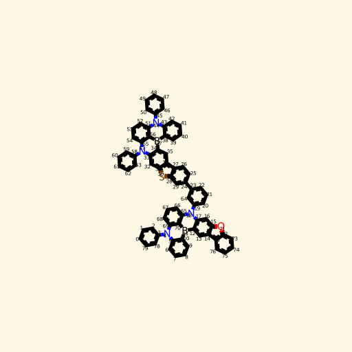 c1ccc(N2c3ccccc3B3c4cc5c(cc4N(c4cccc(-c6ccc7c(c6)sc6cc8c(cc67)B6c7ccccc7N(c7ccccc7)c7cccc(c76)N8c6ccccc6)c4)c4cccc2c43)oc2ccccc25)cc1